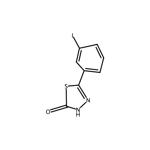 O=c1[nH]nc(-c2cccc(I)c2)s1